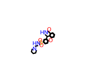 O=C1NCC2c3cc(S(=O)(=O)NCCN4CCCCC4)ccc3Oc3cccc1c32